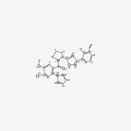 COc1cc(C(=O)N2CCCC2c2nc(-c3cccc(F)c3C)no2)c(-n2nccn2)cc1Cl